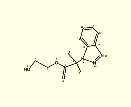 CC(C)(C(=O)OCCO)n1nnc2ccccc21